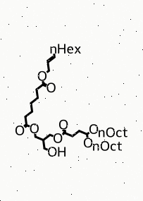 CCCCCCC=CCOC(=O)CCCCCC(=O)OCC(CO)COC(=O)CCC(OCCCCCCCC)OCCCCCCCC